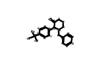 O=C1CCCN(Cc2ccccc2)C1c1ccc(C(F)(F)F)cc1